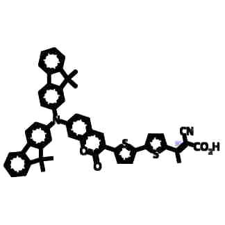 C/C(=C(/C#N)C(=O)O)c1ccc(-c2ccc(-c3cc4ccc(N(c5ccc6c(c5)C(C)(C)c5ccccc5-6)c5ccc6c(c5)C(C)(C)c5ccccc5-6)cc4oc3=O)s2)s1